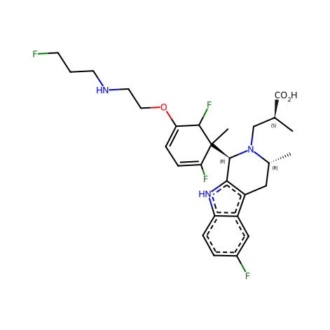 C[C@@H]1Cc2c([nH]c3ccc(F)cc23)[C@@H](C2(C)C(F)=CC=C(OCCNCCCF)C2F)N1C[C@H](C)C(=O)O